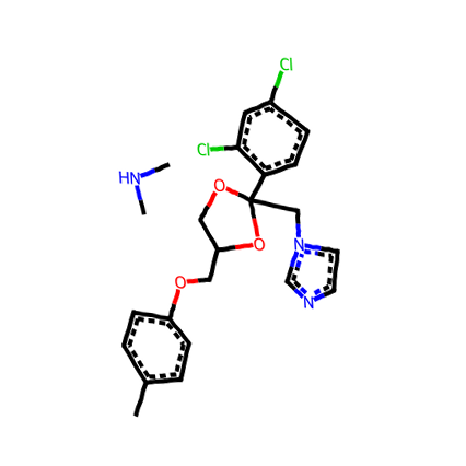 CNC.Cc1ccc(OCC2COC(Cn3ccnc3)(c3ccc(Cl)cc3Cl)O2)cc1